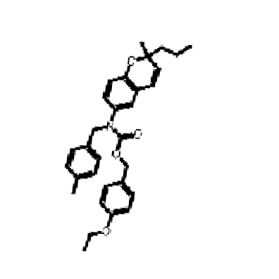 CCCC1(C)C=Cc2cc(N(Cc3ccc(C)cc3)C(=O)OCc3ccc(OCC)cc3)ccc2O1